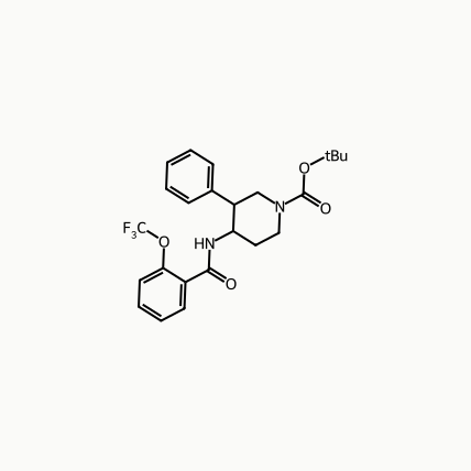 CC(C)(C)OC(=O)N1CCC(NC(=O)c2ccccc2OC(F)(F)F)C(c2ccccc2)C1